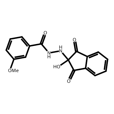 COc1cccc(C(=O)NNC2(O)C(=O)c3ccccc3C2=O)c1